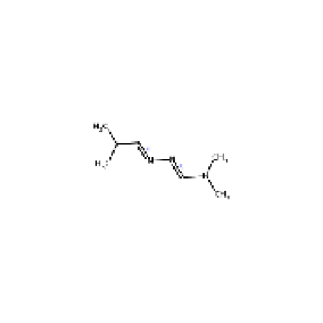 CC(C)/C=N/N=C/N(C)C